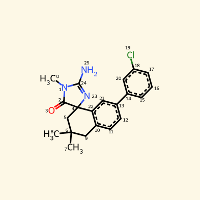 CN1C(=O)C2(CC(C)(C)Cc3ccc(-c4cccc(Cl)c4)cc32)N=C1N